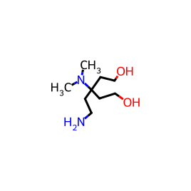 CN(C)C(CCN)(CCO)CCO